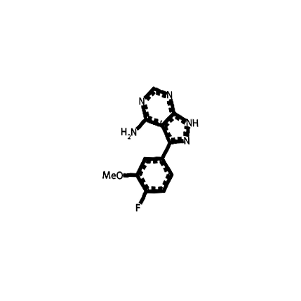 COc1cc(-c2n[nH]c3ncnc(N)c23)ccc1F